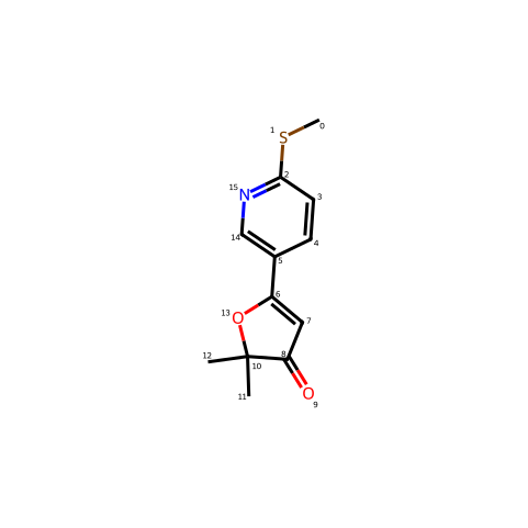 CSc1ccc(C2=CC(=O)C(C)(C)O2)cn1